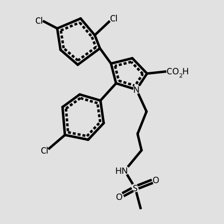 CS(=O)(=O)NCCCn1c(C(=O)O)cc(-c2ccc(Cl)cc2Cl)c1-c1ccc(Cl)cc1